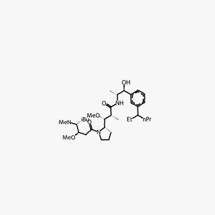 CCCC(CC)c1cccc([C@H](O)[C@@H](C)NC(=O)[C@H](C)[C@@H](OC)[C@@H]2CCCN2C(=O)C[C@@H](OC)C(NC)[C@@H](C)CC)c1